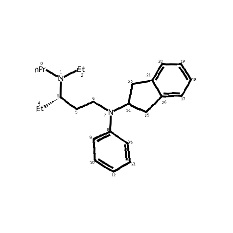 CCCN(CC)[C@@H](CC)CCN(c1ccccc1)C1Cc2ccccc2C1